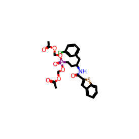 CC(=O)OCOP(=O)(CCC(Cc1cccc(F)c1)NC(=O)c1cc2ccccc2s1)OCOC(C)=O